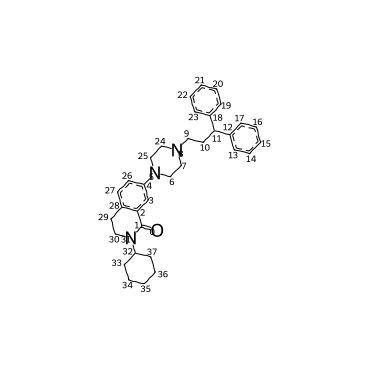 O=C1c2cc(N3CCN(CCC(c4ccccc4)c4ccccc4)CC3)ccc2CCN1C1CCCCC1